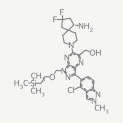 Cn1cc2c(Cl)c(-c3nn(COCC[Si](C)(C)C)c4nc(N5CCC6(CC5)CC(F)(F)C[C@H]6N)c(CO)nc34)ccc2n1